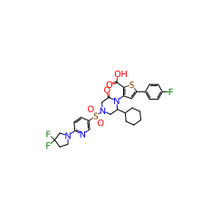 O=C(O)c1sc(-c2ccc(F)cc2)cc1N1C(=O)CN(S(=O)(=O)c2ccc(N3CCC(F)(F)C3)nc2)CC1C1CCCCC1